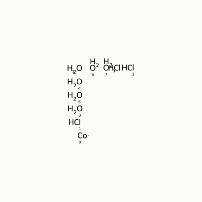 Cl.Cl.Cl.O.O.O.O.O.O.[Co]